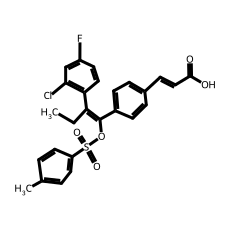 CCC(=C(OS(=O)(=O)c1ccc(C)cc1)c1ccc(C=CC(=O)O)cc1)c1ccc(F)cc1Cl